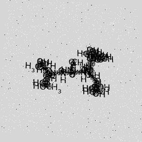 CC(=O)CCCCC(=O)N[C@@H](CCCCNC(=O)CCCCCNC(=O)CN(CC(=O)NCCO[C@@H]1O[C@@H](C)C[C@@H](O)[C@@H]1O)CC(=O)NCCO[C@@H]1O[C@@H](C)C[C@@H](O)[C@@H]1O)C(=O)NCCCCCCNC(=O)CN(CC(=O)NCCCCCC(=O)N(CCO)CCO[C@H]1O[C@H](CO)[C@@H](O)[C@H](O)[C@@H]1O)CC(=O)NCCCCCC(=O)N(CCO[C@H]1O[C@H](CO)[C@@H](O)[C@H](O)[C@@H]1O)CCO[C@H]1O[C@H](CO)C[C@H](O)[C@@H]1O